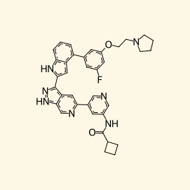 O=C(Nc1cncc(-c2cc3c(-c4cc5c(-c6cc(F)cc(OCCN7CCCC7)c6)cccc5[nH]4)n[nH]c3cn2)c1)C1CCC1